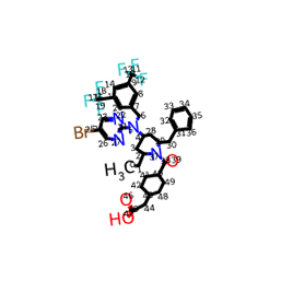 CCC1CC(N(Cc2cc(C(F)(F)F)cc(C(F)(F)F)c2)c2ncc(Br)cn2)CC(Cc2ccccc2)N1C(=O)C1CCC(CC(=O)O)CC1